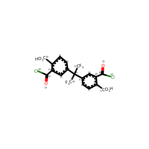 O=C(O)c1ccc(C(c2ccc(C(=O)O)c(C(=O)Cl)c2)(C(F)(F)F)C(F)(F)F)cc1C(=O)Cl